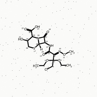 CCOC(CCl)(OCC)C(=NOC)C(=O)NC1C(=O)N2C(C(=O)O)C(O)CS[C@@H]12